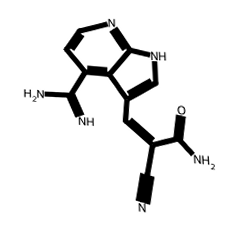 N#CC(=Cc1c[nH]c2nccc(C(=N)N)c12)C(N)=O